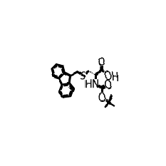 CC(C)(C)OC(=O)N[C@H](CSCC1c2ccccc2-c2ccccc21)C(=O)O